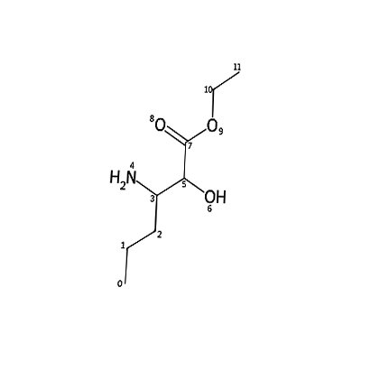 CCCC(N)C(O)C(=O)OCC